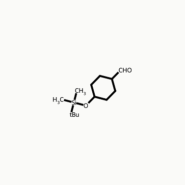 CC(C)(C)[Si](C)(C)OC1CCC(C=O)CC1